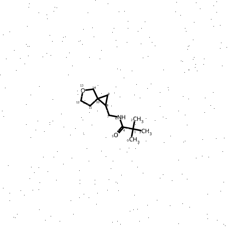 CC(C)(C)C(=O)NCC1CC12CCOC2